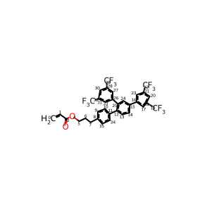 C=CC(=O)OCCCc1ccc(-c2ccc(-c3cc(C(F)(F)F)cc(C(F)(F)F)c3)cc2-c2cc(C(F)(F)F)cc(C(F)(F)F)c2)cc1